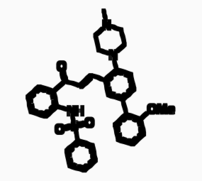 COc1ccccc1-c1ccc(N2CCN(C)CC2)c(C=CC(=O)c2ccccc2NS(=O)(=O)c2ccccc2)c1